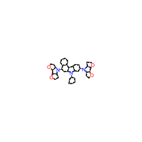 c1ccc(-n2c3cc(-n4c5ccoc5c5occc54)ccc3c3c4ccccc4c(-n4c5ccoc5c5occc54)cc32)cc1